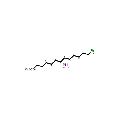 CCCCCCCCCCCCCCCCCCCCBr.P